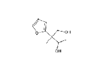 CC(O)C(C)(CO)c1ccco1